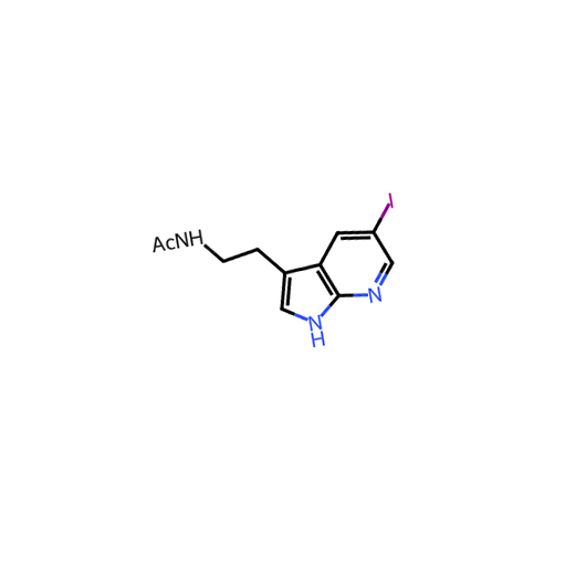 CC(=O)NCCc1c[nH]c2ncc(I)cc12